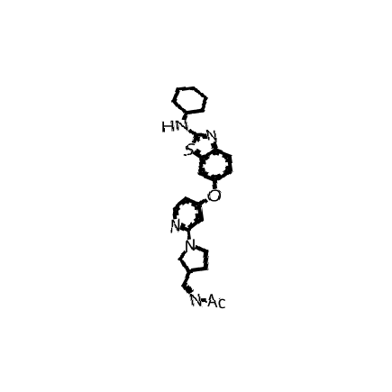 CC(=O)/N=C\C1CCN(c2cc(Oc3ccc4nc(NC5CCCCC5)sc4c3)ccn2)C1